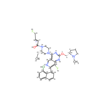 CN1CCC[C@H]1COc1nc(N2CCN(C(=O)/C=C/CF)[C@@H](CC#N)C2)c2cnc(-c3cccc4cccc(Cl)c34)c(F)c2n1